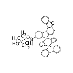 CC(C)(O)C(C)(C)OBc1ccc2c(c1)C1(c3ccccc3C3(c4ccccc4-c4ccccc43)c3ccccc31)c1ccc3oc4ccccc4c3c1-2